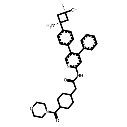 C[C@]1(O)C[C@@](N)(c2ccc(-c3cnc(NC(=O)CC4CCC(C(=O)N5CCOCC5)CC4)cc3-c3ccccc3)cc2)C1